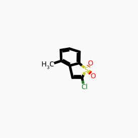 Cc1cccc2c1C=C(Cl)S2(=O)=O